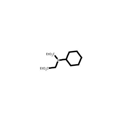 CCOC(=O)CN(C(=O)OCC)C1CCCCC1